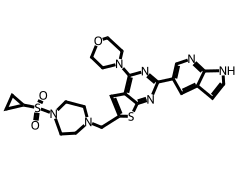 O=S(=O)(C1CC1)N1CCN(Cc2cc3c(N4CCOCC4)nc(-c4cnc5[nH]ccc5c4)nc3s2)CC1